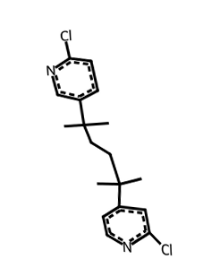 CC(C)(CCC(C)(C)c1ccnc(Cl)c1)c1ccc(Cl)nc1